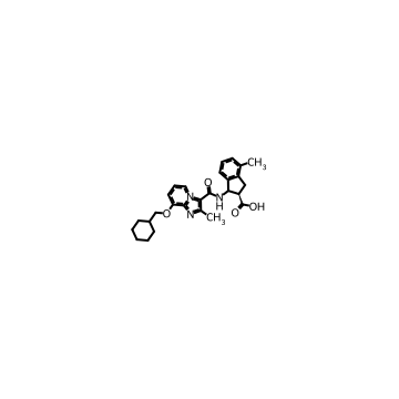 Cc1cccc2c1C[C@@H](C(=O)O)C2NC(=O)c1c(C)nc2c(OCC3CCCCC3)cccn12